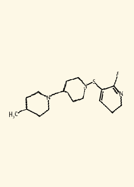 CC1CCN(C2CCN(SC3=CCCN=C3F)CC2)CC1